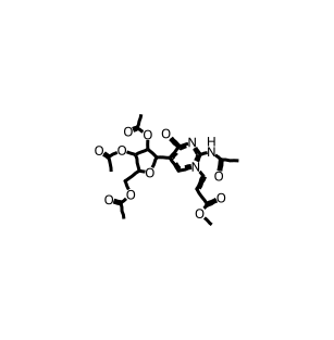 COC(=O)/C=C/n1cc(C2OC(COC(C)=O)C(OC(C)=O)C2OC(C)=O)c(=O)nc1NC(C)=O